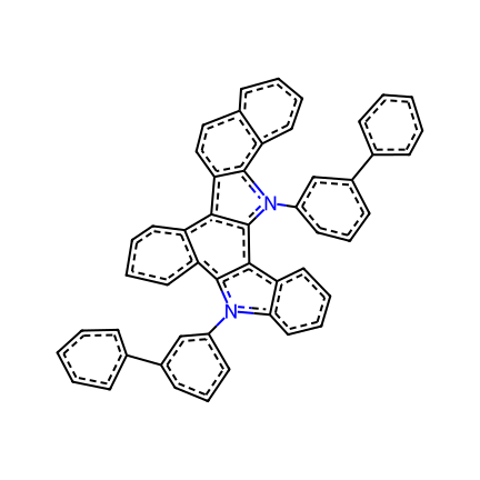 c1ccc(-c2cccc(-n3c4ccccc4c4c3c3ccccc3c3c5ccc6ccccc6c5n(-c5cccc(-c6ccccc6)c5)c34)c2)cc1